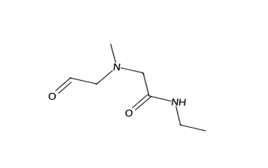 CCNC(=O)CN(C)CC=O